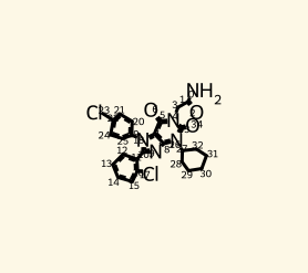 NC(=O)Cn1c(=O)c2c(nc(-c3ccccc3Cl)n2-c2ccc(Cl)cc2)n(C2CCCCC2)c1=O